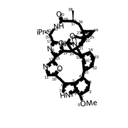 COc1ccc2c3c(c[nH]c13)-c1cnc(o1)-c1nc3oc1C14c5cc(ccc5O[C@@H]1Nc1c-2cccc14)C[C@H](C)C(=O)N[C@H]3C(C)C